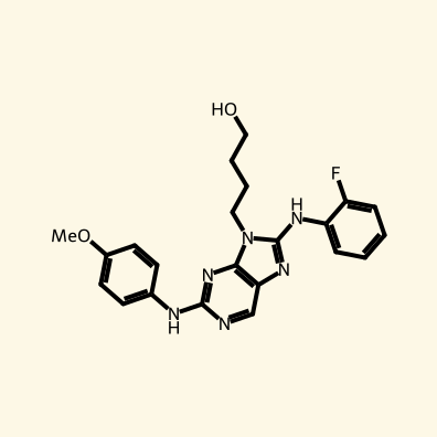 COc1ccc(Nc2ncc3nc(Nc4ccccc4F)n(CCCCO)c3n2)cc1